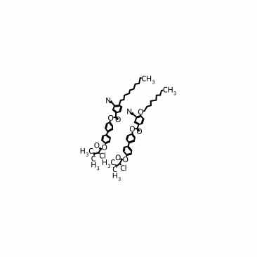 CCCCCCCCCCc1ccc(C(=O)Oc2ccc(-c3ccc(OC(=O)C(Cl)C(C)C)cc3)cc2)cc1C#N.CCCCCCCCCOc1ccc(C(=O)Oc2ccc(-c3ccc(OC(=O)C(Cl)C(C)C)cc3)cc2)cc1C#N